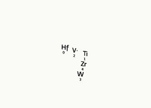 [Hf].[Ti].[V].[W].[Zr]